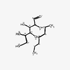 CCCCCCC.O=CC(O)C(O)C(O)C(O)CO